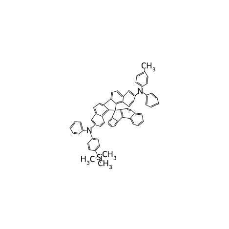 Cc1ccc(N(c2ccccc2)c2ccc3c4c(ccc3c2)-c2ccc3cc(N(c5ccccc5)c5ccc([Si](C)(C)C)cc5)ccc3c2C42c3ccccc3-c3c2ccc2ccccc32)cc1